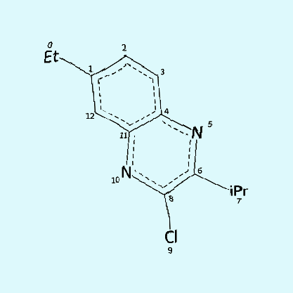 CCc1ccc2nc(C(C)C)c(Cl)nc2c1